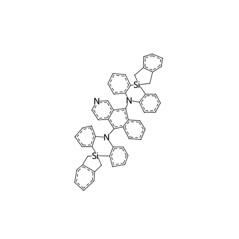 c1ccc2c(c1)C[Si]1(C2)c2ccccc2N(c2c3ccccc3c(N3c4ccccc4[Si]4(Cc5ccccc5C4)c4ccccc43)c3cnccc23)c2ccccc21